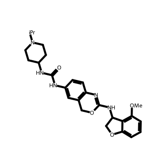 COc1cccc2c1C(NC1=Nc3ccc(NC(=O)NC4CCN(C(C)C)CC4)cc3CO1)CO2